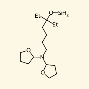 CCC(CC)(CCCCN(C1CCCO1)C1CCCO1)O[SiH3]